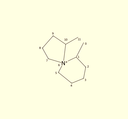 CC1CCCC[N+]12CCCC2C